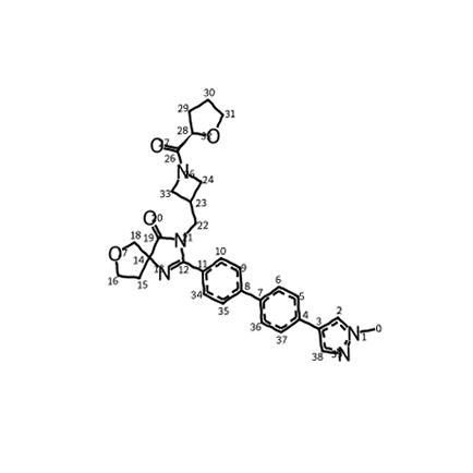 Cn1cc(-c2ccc(-c3ccc(C4=NC5(CCOC5)C(=O)N4CC4CN(C(=O)[C@H]5CCCO5)C4)cc3)cc2)cn1